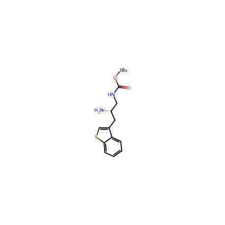 CC(C)(C)OC(=O)NC[C@@H](N)Cc1csc2ccccc12